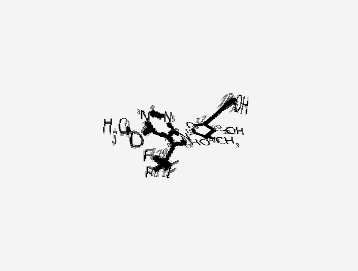 COc1ncnc2c1c(C(F)(F)F)cn2[C@@H]1OC(CO)[C@H](O)C1(C)O